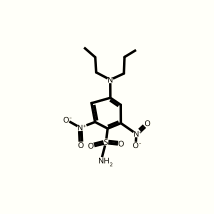 CCCN(CCC)c1cc([N+](=O)[O-])c(S(N)(=O)=O)c([N+](=O)[O-])c1